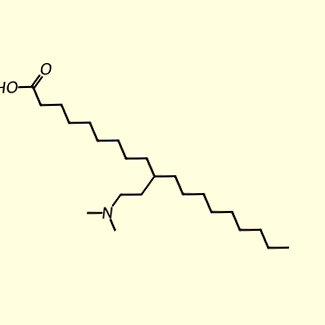 CCCCCCCCCC(CCCCCCCCC(=O)O)CCN(C)C